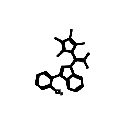 CC1=C(C)[CH]([Zr]([CH]2C=C(c3ccccc3C(F)(F)F)c3ccccc32)=[Si](C)C)C(C)=C1C